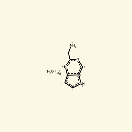 NCc1ncc2[nH]cnc2n1.O.O